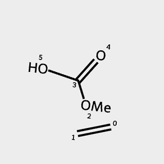 C=C.COC(=O)O